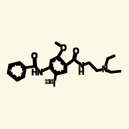 CCN(CC)CCNC(=O)c1cc([131I])c(NC(=O)c2ccccc2)cc1OC